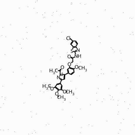 COc1ccc(-c2cc(-c3cc(OC)c(OC)c(OC)c3)nn2C(C)=O)cc1OCC(=O)Nc1nc2ccc(Cl)cc2s1